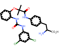 CC(C)(Oc1ccccc1NC(=O)Nc1cc(Cl)cc(Cl)c1)C(=O)Nc1ccc(CC(N)C(=O)O)cc1